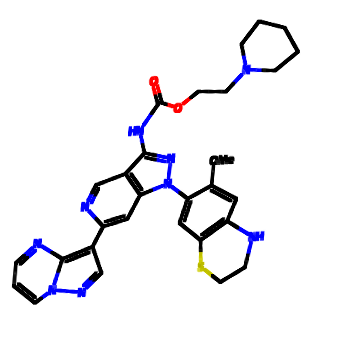 COc1cc2c(cc1-n1nc(NC(=O)OCCN3CCCCC3)c3cnc(-c4cnn5cccnc45)cc31)SCCN2